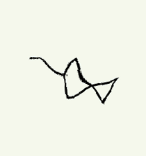 C[C]1CC2(CC2)C1